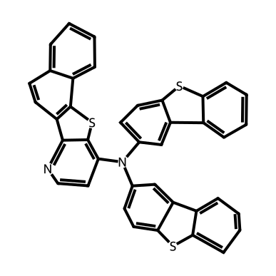 c1ccc2c(c1)ccc1c3nccc(N(c4ccc5sc6ccccc6c5c4)c4ccc5sc6ccccc6c5c4)c3sc21